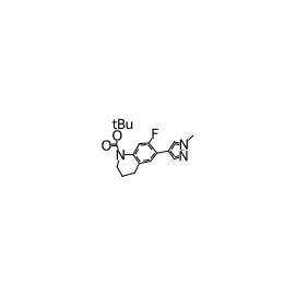 Cn1cc(-c2cc3c(cc2F)N(C(=O)OC(C)(C)C)CCC3)cn1